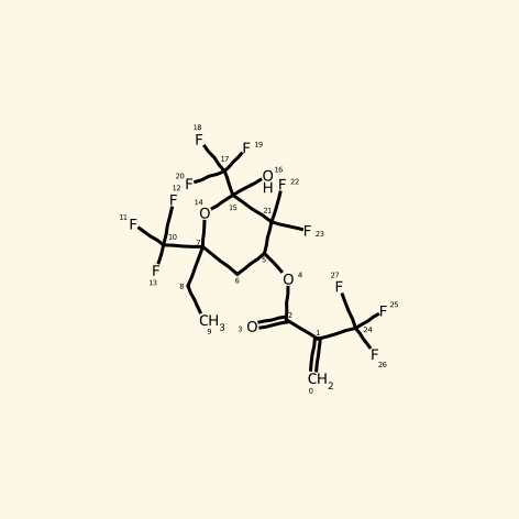 C=C(C(=O)OC1CC(CC)(C(F)(F)F)OC(O)(C(F)(F)F)C1(F)F)C(F)(F)F